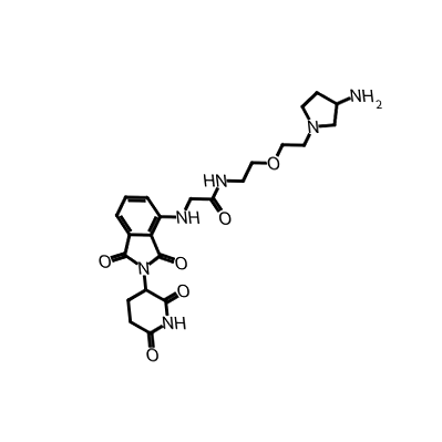 NC1CCN(CCOCCNC(=O)CNc2cccc3c2C(=O)N(C2CCC(=O)NC2=O)C3=O)C1